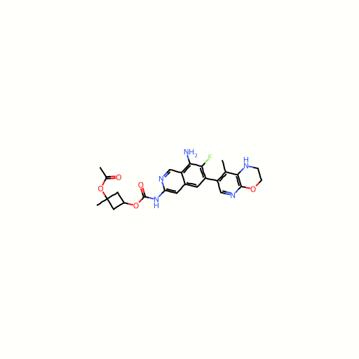 CC(=O)OC1(C)CC(OC(=O)Nc2cc3cc(-c4cnc5c(c4C)NCCO5)c(F)c(N)c3cn2)C1